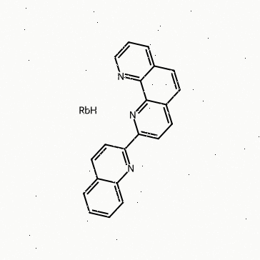 [RbH].c1ccc2nc(-c3ccc4ccc5cccnc5c4n3)ccc2c1